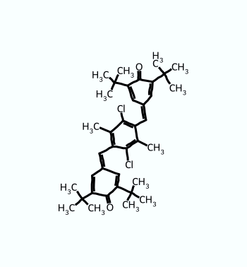 Cc1c(Cl)c(C=C2C=C(C(C)(C)C)C(=O)C(C(C)(C)C)=C2)c(C)c(Cl)c1C=C1C=C(C(C)(C)C)C(=O)C(C(C)(C)C)=C1